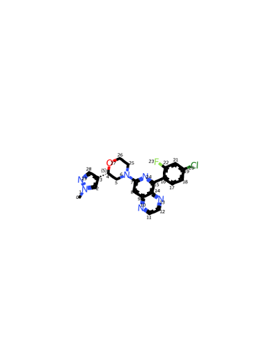 Cn1cc([C@H]2CN(c3cc4nccnc4c(-c4ccc(Cl)cc4F)n3)CCO2)cn1